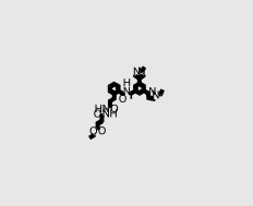 CCOC(=O)/C=C/C(=O)NNC(=O)CCc1ccccc1C(=O)N[C@H](C)c1cc(-c2cnn(C)c2)cc(-c2ccn(CC)n2)c1